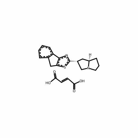 O=C(O)C=CC(=O)O.c1ccc2c(c1)Cc1sc([C@@H]3C[C@H]4CCCN4C3)nc1-2